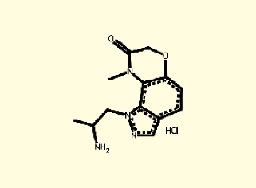 CC(N)Cn1ncc2ccc3c(c21)N(C)C(=O)CO3.Cl